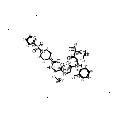 CC(C)C[C@H](NC(=O)C1CCN(S(=O)(=O)c2cccs2)CC1)C(=O)N[C@@H](Cc1ccccc1)C(=O)N[C@@H](CC(C)C)C(=O)[C@@]1(C)CO1